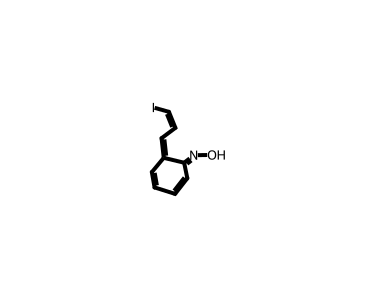 O\N=C1/C=CC=C/C1=C/C=C\I